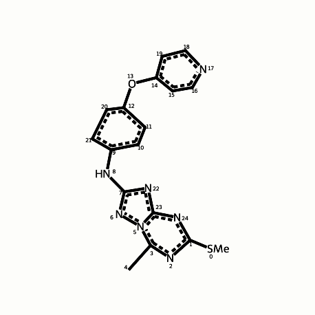 CSc1nc(C)n2nc(Nc3ccc(Oc4ccncc4)cc3)nc2n1